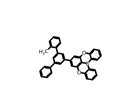 Cc1ccccc1-c1cc(-c2ccccc2)cc(-c2cc3c4c(c2)Oc2ccccc2B4c2ccccc2O3)c1